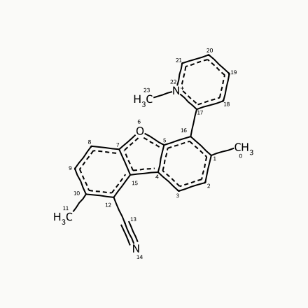 Cc1ccc2c(oc3ccc(C)c(C#N)c32)c1-c1cccc[n+]1C